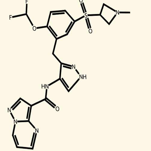 CN1CC(S(=O)(=O)c2ccc(OC(F)F)c(Cc3n[nH]cc3NC(=O)c3cnn4cccnc34)c2)C1